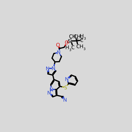 CC(C)(C)[Si](C)(C)OCC(=O)N1CCC(n2cc(-c3cc(Sc4ccccn4)c4c(C#N)cnn4c3)cn2)CC1